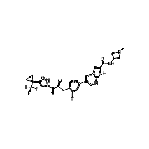 CN1CC(NC(=O)c2cc3cc(-c4ccc(CC(=O)Nc5cc(C6(C(F)(F)F)CC6)on5)c(F)c4)cnc3[nH]2)C1